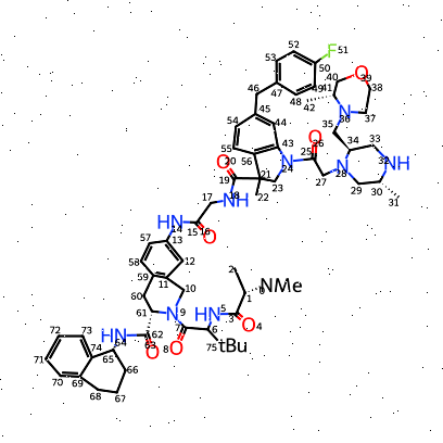 CN[C@@H](C)C(=O)NC(C(=O)N1Cc2cc(NC(=O)CNC(=O)C3(C)CN(C(=O)CN4C[C@@H](C)NC[C@@H]4CN4CCOC[C@H]4C)c4cc(Cc5ccc(F)cc5)ccc43)ccc2C[C@H]1C(=O)N[C@@H]1CCCc2ccccc21)C(C)(C)C